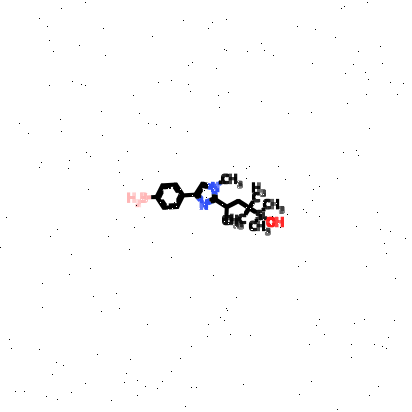 Bc1ccc(-c2cn(C)c(C(C)CC(C)(C)[Si](C)(C)O)n2)cc1